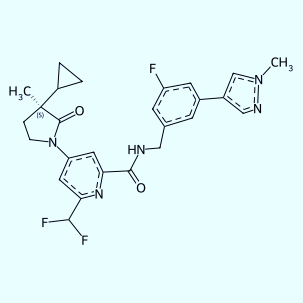 Cn1cc(-c2cc(F)cc(CNC(=O)c3cc(N4CC[C@@](C)(C5CC5)C4=O)cc(C(F)F)n3)c2)cn1